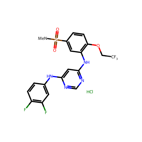 CNS(=O)(=O)c1ccc(OCC(F)(F)F)c(Nc2cc(Nc3ccc(F)c(F)c3)ncn2)c1.Cl